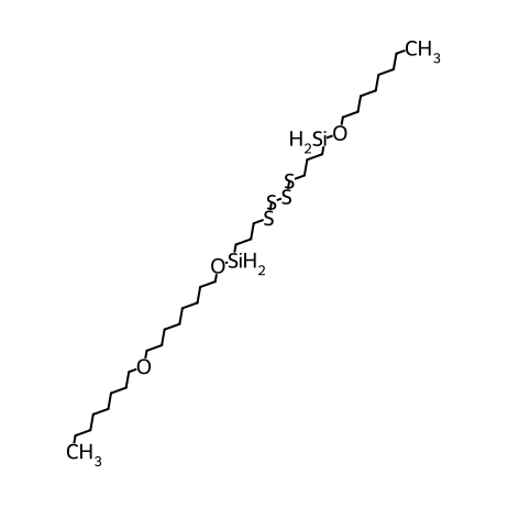 CCCCCCCCOCCCCCCCCO[SiH2]CCCSSSSCCC[SiH2]OCCCCCCCC